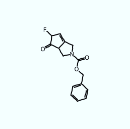 O=C1C(F)C=C2CN(C(=O)OCc3ccccc3)CC12